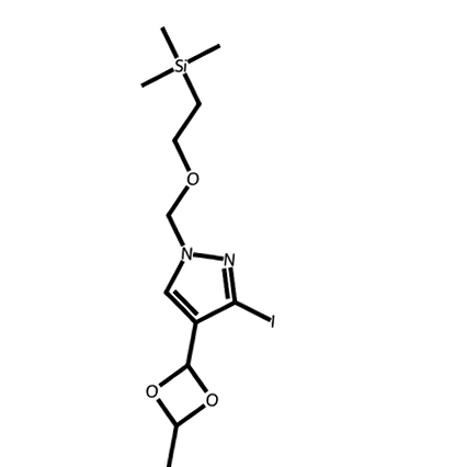 CC1OC(c2cn(COCC[Si](C)(C)C)nc2I)O1